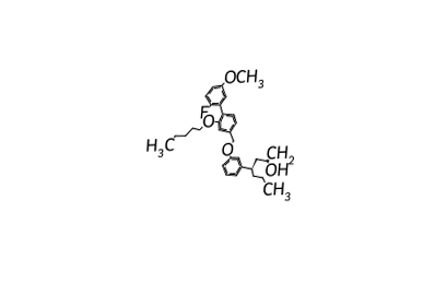 C=C(O)C[C@@H](CCC)c1cccc(OCc2ccc(-c3cc(OC)ccc3F)c(OCCCCC)c2)c1